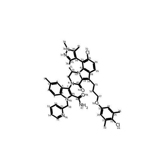 Cc1ccc2c(c1)c(N1C[C@@H](C)n3c(c(CCCOc4cc(C)c(Cl)c(C)c4)c4ccc(Cl)c(-c5c(C)nn(C)c5C)c43)C1=O)c(C(N)=O)n2Cc1ccccn1